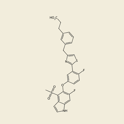 CS(=O)(=O)c1c(Oc2ccc(F)c(-c3nc(Cc4cccc(CCC(=O)O)c4)cs3)c2)c(F)cc2[nH]ccc12